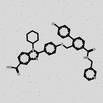 O=C(O)c1ccc2c(c1)nc(-c1ccc(OCc3cc(C(=O)NCc4cccnc4)ccc3-c3ccc(Cl)cc3)cc1)n2C1CCCCC1